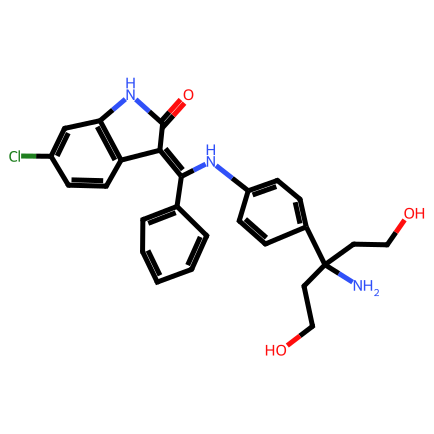 NC(CCO)(CCO)c1ccc(N/C(=C2\C(=O)Nc3cc(Cl)ccc32)c2ccccc2)cc1